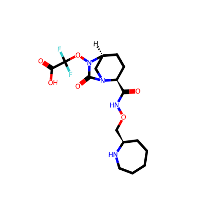 O=C(NOC[C@H]1CCCCCN1)[C@@H]1CC[C@H]2CN1C(=O)N2OC(F)(F)C(=O)O